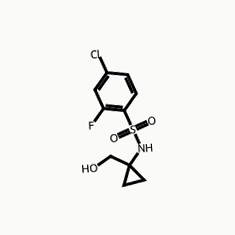 O=S(=O)(NC1(CO)CC1)c1ccc(Cl)cc1F